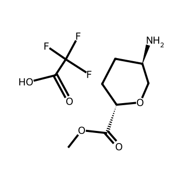 COC(=O)[C@@H]1CC[C@@H](N)CO1.O=C(O)C(F)(F)F